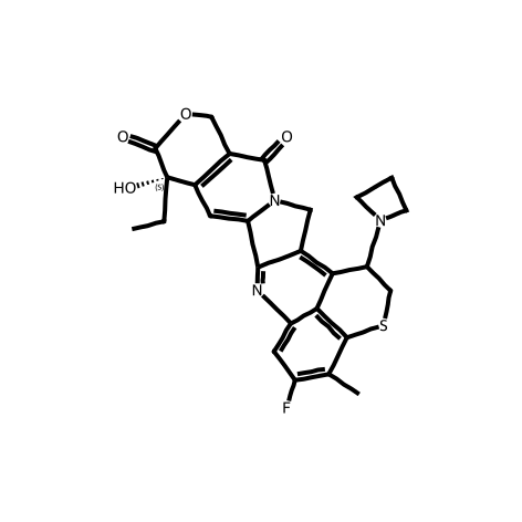 CC[C@@]1(O)C(=O)OCc2c1cc1n(c2=O)Cc2c-1nc1cc(F)c(C)c3c1c2C(N1CCC1)CS3